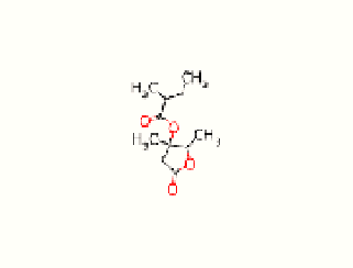 CCC(C)C(=O)OC1(C)CC(=O)OC1C